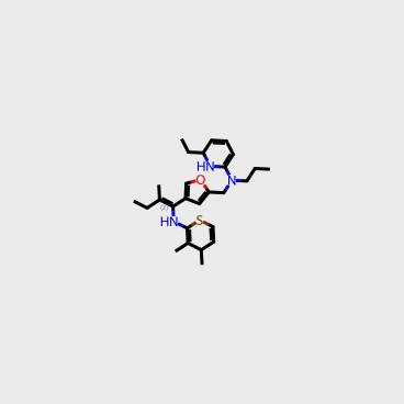 CCCN(Cc1cc(/C(NC2=C(C)C(C)C=CS2)=C(\C)CC)co1)C1=CC=CC(CC)N1